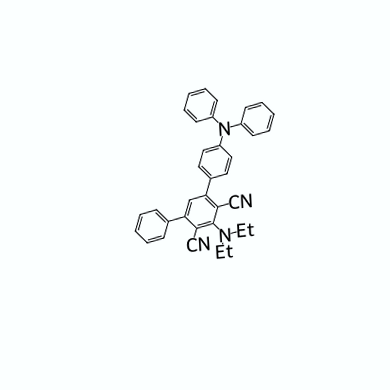 CCN(CC)c1c(C#N)c(-c2ccccc2)cc(-c2ccc(N(c3ccccc3)c3ccccc3)cc2)c1C#N